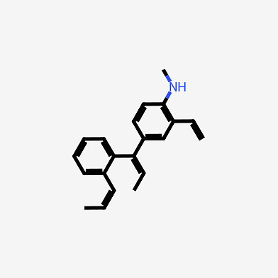 C=Cc1cc(/C(=C/C)c2ccccc2/C=C\C)ccc1NC